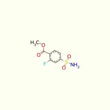 COC(=O)c1ccc(S(N)(=O)=O)cc1F